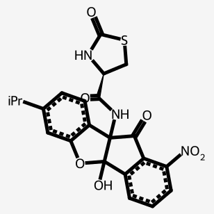 CC(C)c1ccc2c(c1)OC1(O)c3cccc([N+](=O)[O-])c3C(=O)C21NC(=O)[C@@H]1CSC(=O)N1